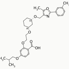 Cc1cccc(-c2nc(CO[C@H]3CCC[C@@H](OCCOc4cc(OCC(C)C)ccc4C(=O)O)C3)c(C)o2)c1